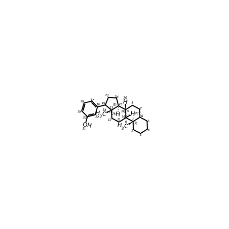 C[C@]12CCCCC1CC[C@@H]1[C@H]2CC[C@]2(C)C(c3cccc(O)c3)CC[C@@H]12